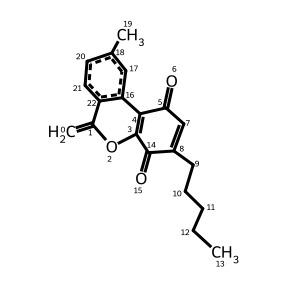 C=C1OC2=C(C(=O)C=C(CCCCC)C2=O)c2cc(C)ccc21